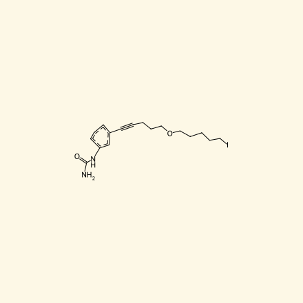 NC(=O)Nc1cccc(C#CCCCOCCCCCI)c1